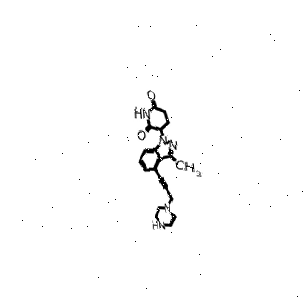 Cc1nn(C2CCC(=O)NC2=O)c2cccc(C#CCN3CCNCC3)c12